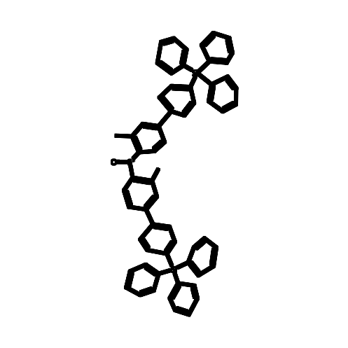 Cc1cc(-c2ccc([Si](c3ccccc3)(c3ccccc3)c3ccccc3)cc2)ccc1[S+]([O-])c1ccc(-c2ccc([Si](c3ccccc3)(c3ccccc3)c3ccccc3)cc2)cc1C